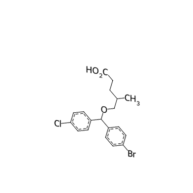 CC(CCC(=O)O)COC(c1ccc(Cl)cc1)c1ccc(Br)cc1